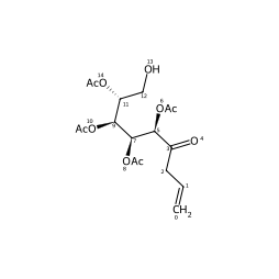 C=CCC(=O)[C@H](OC(C)=O)[C@@H](OC(C)=O)[C@@H](OC(C)=O)[C@@H](CO)OC(C)=O